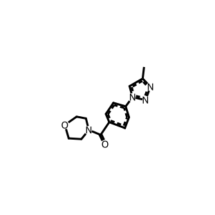 Cc1cn(-c2ccc(C(=O)N3CCOCC3)cc2)nn1